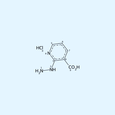 Cl.NNc1ncccc1C(=O)O